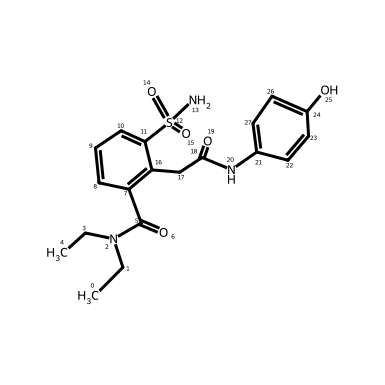 CCN(CC)C(=O)c1cccc(S(N)(=O)=O)c1CC(=O)Nc1ccc(O)cc1